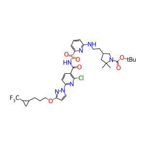 CC(C)(C)OC(=O)N1CC(CCNc2cccc(S(=O)(=O)NC(=O)c3ccc(-n4ccc(OCCCC5CC5C(F)(F)F)n4)nc3Cl)n2)CC1(C)C